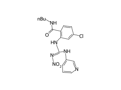 CCCCNC(=O)c1ccc(Cl)cc1NC(=N[N+](=O)[O-])Nc1cccnc1